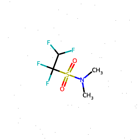 CN(C)S(=O)(=O)C(F)(F)C(F)F